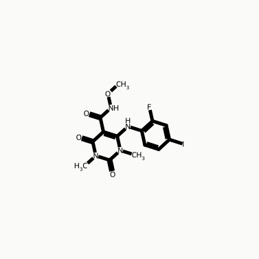 CONC(=O)c1c(Nc2ccc(I)cc2F)n(C)c(=O)n(C)c1=O